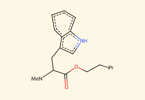 CNC(Cc1c[nH]c2ccccc12)C(=O)OCCC(C)C